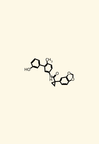 Cc1ccc(NC(=O)C2(c3ccc4c(c3)OCO4)CC2)cc1-c1cccc(O)c1